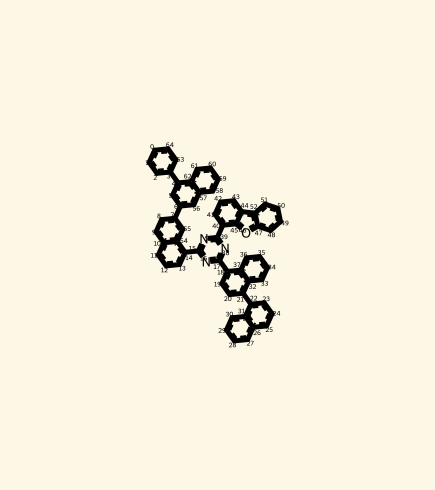 c1ccc(-c2cc(-c3ccc4cccc(-c5nc(-c6ccc(-c7cccc8ccccc78)c7ccccc67)nc(-c6cccc7c6oc6ccccc67)n5)c4c3)cc3ccccc23)cc1